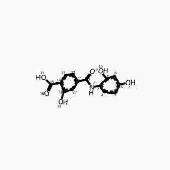 O=C(Nc1ccc(O)cc1O)c1ccc(C(=O)O)c(O)c1